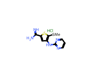 CSc1sc(C(=N)N)cc1Nc1ncccn1.Cl